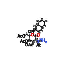 CC(=O)OCC1OC(OC2=CC3C=CC=CC3C=C2N=O)C(N(N)C(C)=O)C(OC(C)=O)C1OC(C)=O